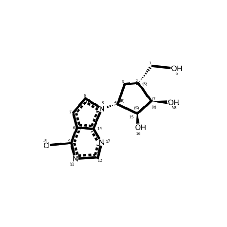 OC[C@H]1C[C@@H](n2ccc3c(Cl)ncnc32)[C@H](O)[C@@H]1O